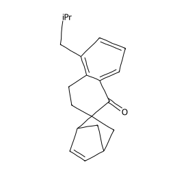 CC(C)Cc1cccc2c1CCC1(CC3C=CC1C3)C2=O